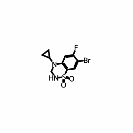 O=S1(=O)NCN(C2CC2)c2cc(F)c(Br)cc21